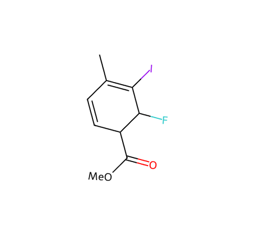 COC(=O)C1C=CC(C)=C(I)C1F